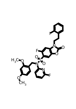 COc1ccc(CN(c2cccc(F)n2)S(=O)(=O)c2cc3oc(=O)n(CCc4ccccc4I)c3cc2F)c(OC)c1